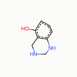 Oc1cccc2c1CNCN2